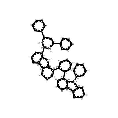 c1ccc(-c2cc(-c3ccccc3)nc(-c3cccc4c3oc3c(-c5ccccc5-c5cccc6c7ccccc7n(-c7ccccc7)c56)cccc34)n2)cc1